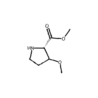 COC(=O)[C@H]1NCCC1OC